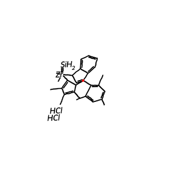 CC1=C(C)C(C)[C]([Zr]([CH3])([CH3])(=[SiH2])[CH]2C=C(c3c(C)cc(C)cc3C)c3ccccc32)=C1C.Cl.Cl